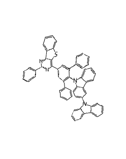 c1ccc(-c2nc(-c3cc(-c4ccccc4)c(-n4c5ccccc5c5cc(-n6c7ccccc7c7ccccc76)ccc54)c(-c4ccccc4)c3)c3sc4ccccc4c3n2)cc1